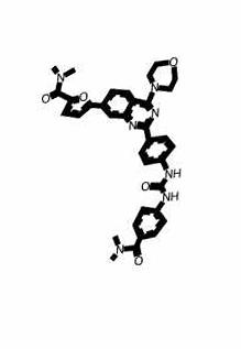 CN(C)C(=O)c1ccc(NC(=O)Nc2ccc(-c3nc(N4CCOCC4)c4ccc(-c5ccc(C(=O)N(C)C)o5)cc4n3)cc2)cc1